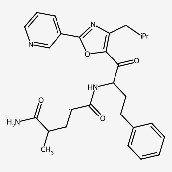 CC(C)Cc1nc(-c2cccnc2)oc1C(=O)C(CCc1ccccc1)NC(=O)[CH]CC(C)C(N)=O